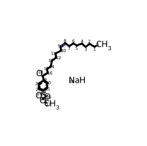 CCCCCCCC/C=C\CCCCCCCC(=O)c1ccc(S(=O)(=O)OC)cc1.[NaH]